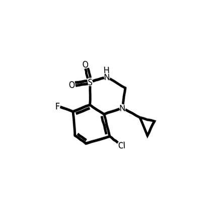 O=S1(=O)NCN(C2CC2)c2c(Cl)ccc(F)c21